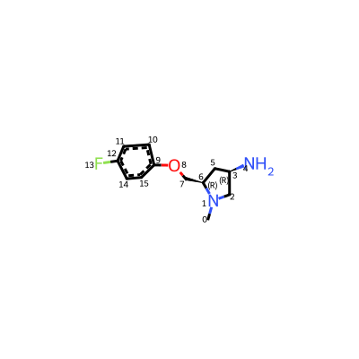 CN1C[C@H](N)C[C@@H]1COc1ccc(F)cc1